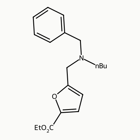 CCCCN(Cc1ccccc1)Cc1ccc(C(=O)OCC)o1